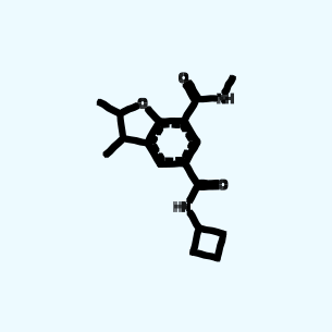 CNC(=O)c1cc(C(=O)NC2CCC2)cc2c1OC(C)C2C